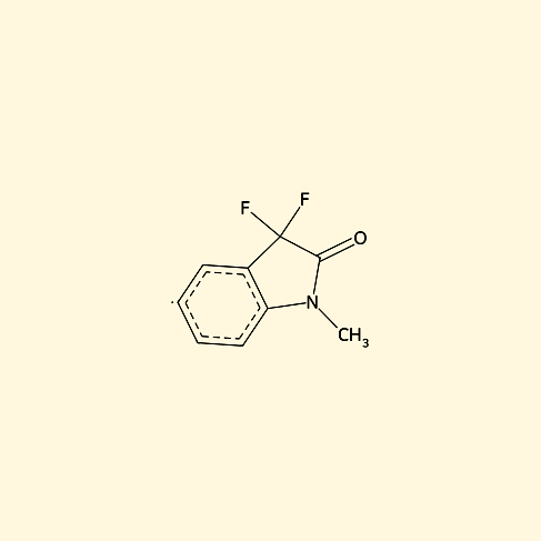 CN1C(=O)C(F)(F)c2c[c]ccc21